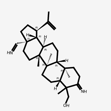 C=C(C)[C@@H]1CC[C@]2(C=N)CC[C@]3(C)[C@H](CC[C@@H]4[C@@]5(C)CCC(=N)C(C)(CO)[C@@H]5CC[C@]43C)[C@@H]12